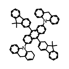 CC1(C)c2ccccc2-c2ccc(-c3c4ccc(N5C6=C(C=CCC6)Cc6ccccc65)cc4c(C4=CC=C5c6ccccc6C(C)(C)C5C4)c4ccc(N5c6ccccc6Cc6ccccc65)cc34)cc21